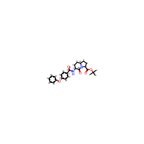 CC(C)(C)OC(=O)C1CCC2CCC(NC(=O)c3ccc(Oc4ccccc4)cc3)C(=O)N21